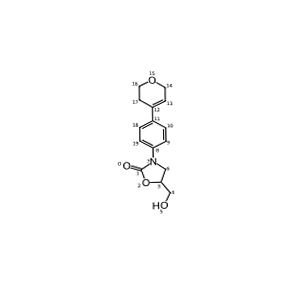 O=C1OC(CO)CN1c1ccc(C2=CCOCC2)cc1